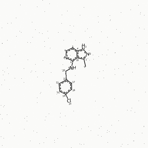 Cc1n[nH]c2ccnc(NCc3ccc(Cl)cc3)c12